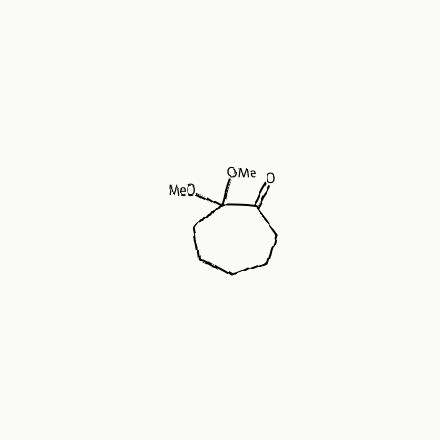 COC1(OC)CCCCCC1=O